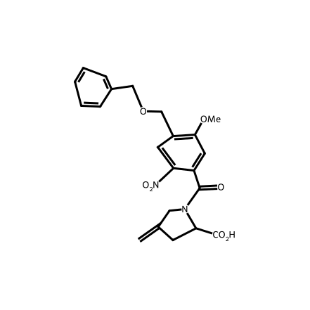 C=C1CC(C(=O)O)N(C(=O)c2cc(OC)c(COCc3ccccc3)cc2[N+](=O)[O-])C1